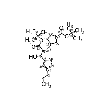 CCCn1cnc(C(O)C(OC2CCN(C(=O)OC(C)(C)C)C2)C(=O)OC(C)(C)C)c1